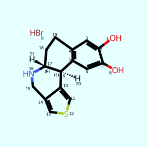 Br.Oc1cc2c(cc1O)[C@H]1c3cscc3CN[C@@H]1CC2